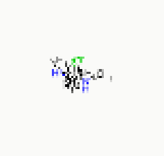 C=CCN[Si](C)(C)[Zr+2][Si](C)(C)NCC=C.[Cl-].[Cl-]